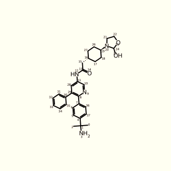 CC(C)(N)c1ccc(-c2ncc(NC(=O)C[C@H]3CC[C@H](N4CCOC4O)CC3)cc2-c2ccccc2)cc1